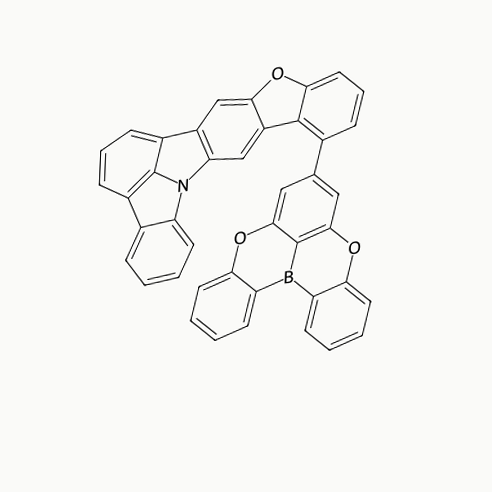 c1ccc2c(c1)Oc1cc(-c3cccc4oc5cc6c7cccc8c9ccccc9n(c6cc5c34)c87)cc3c1B2c1ccccc1O3